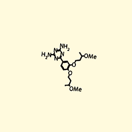 COC(C)CCOc1ccc(-c2nc(N)nc(N)n2)cc1OCCC(C)OC